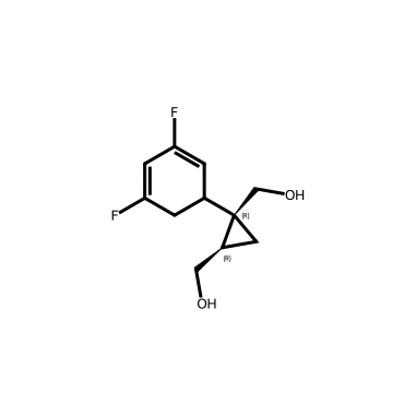 OC[C@@H]1C[C@@]1(CO)C1C=C(F)C=C(F)C1